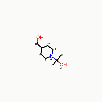 CC(C)(O)N1CCC(CO)CC1